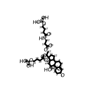 C[C@]12CCC(=O)C=C1CCC1C3CC[C@](OC(=O)CCCON(O)O)(C(=O)COC(=O)CCNC(=O)CCCON(O)O)[C@@]3(C)C[C@H](O)[C@@H]12